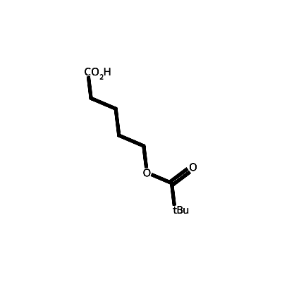 CC(C)(C)C(=O)OCCCCC(=O)O